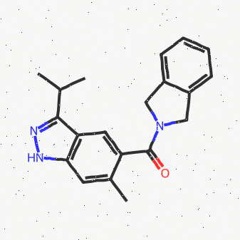 Cc1cc2[nH]nc(C(C)C)c2cc1C(=O)N1Cc2ccccc2C1